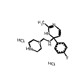 CC1=NC=CC(NCN2CCNCC2)(c2ccc(F)cc2)N1.Cl.Cl